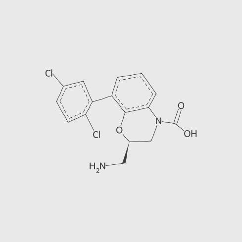 NC[C@@H]1CN(C(=O)O)c2cccc(-c3cc(Cl)ccc3Cl)c2O1